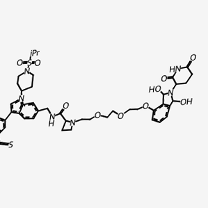 CC(C)S(=O)(=O)N1CCC(n2cc(-c3cccc(C(N)=S)c3)c3ccc(CNC(=O)C4CCN4CCOCCOCCOc4cccc5c4C(O)N(C4CCC(=O)NC4=O)C5O)cc32)CC1